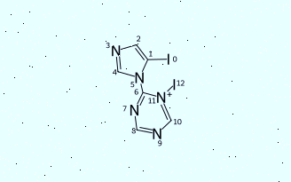 Ic1cncn1-c1ncnc[n+]1I